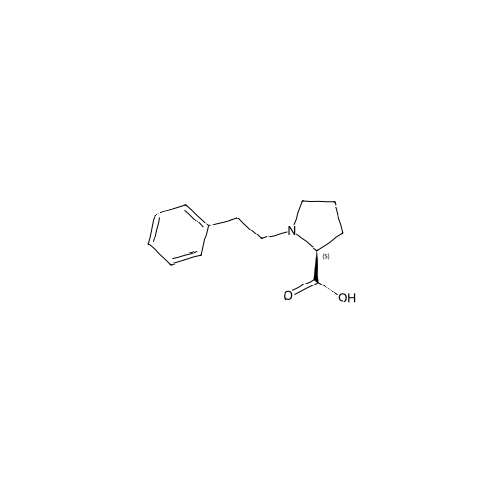 O=C(O)[C@@H]1CCCN1CCc1ccccc1